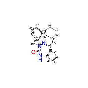 O=C1Nc2ccccc2C(CC2CCCCC2)=NN1Cc1ccccc1